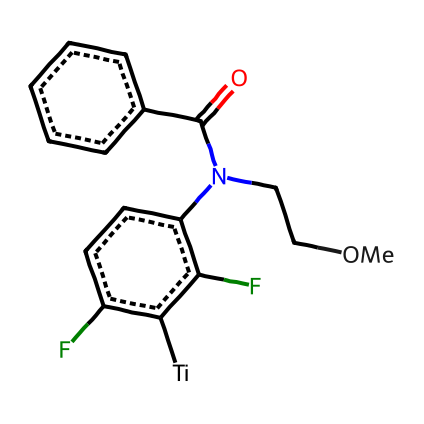 COCCN(C(=O)c1ccccc1)c1ccc(F)[c]([Ti])c1F